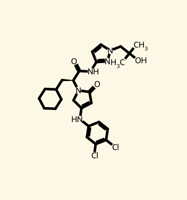 CC(C)(O)Cn1ccc(NC(=O)[C@H](CC2CCCCC2)N2CC(Nc3ccc(Cl)c(Cl)c3)=CC2=O)n1